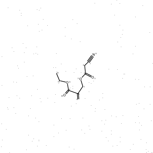 C=C(COC(=O)CC#N)C(=O)OCC